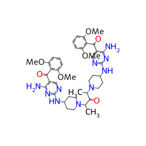 COc1cccc(OC)c1C(=O)c1cnc(NC2CCN(C(C)C(=O)C(C)N3CCC(Nc4ncc(C(=O)c5c(OC)cccc5OC)c(N)n4)CC3)CC2)nc1N